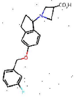 O=C(O)C1CN(C2CCc3cc(OCc4cccc(F)c4)ccc32)C1